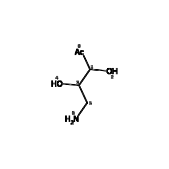 CC(=O)C(O)C(O)CN